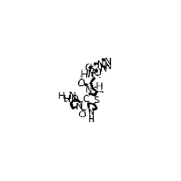 C[C@@H](NS(=O)(=O)Cn1cnnn1)[C@H]1C(=O)N2C(C(=O)O)=C(S[C@@H]3CN[C@H](C(=O)N4CC[C@@H](N)C4)C3)[C@H](C)[C@H]12